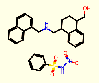 O=[N+]([O-])NS(=O)(=O)c1ccccc1.OCC1CCC(CNCc2cccc3ccccc23)c2ccccc21